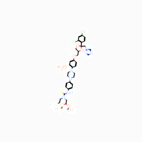 CCCN(CC(OC)OC)C(=S)Nc1ccc(N2CCN(c3ccc(OCC4COC(Cn5cncn5)(c5ccc(Cl)cc5Cl)O4)cc3)CC2)cc1.O